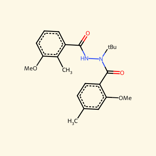 COc1cc(C)ccc1C(=O)N(NC(=O)c1cccc(OC)c1C)C(C)(C)C